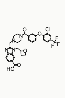 O=C(O)c1ccc2nc(CN3CCN(C(=O)c4cccc(Oc5ccc(C(F)(F)F)cc5Cl)c4)CC3)n(CC3CCO3)c2c1